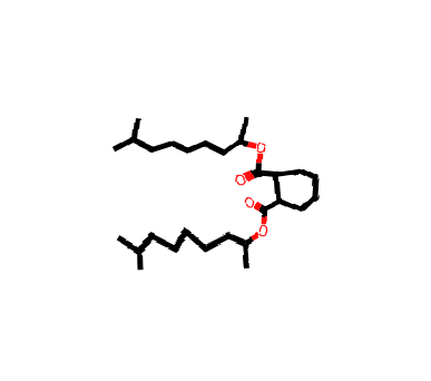 CC(C)CCCCCC(C)OC(=O)C1CCCCC1C(=O)OC(C)CCCCCC(C)C